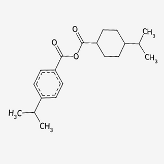 CC(C)c1ccc(C(=O)OC(=O)C2CCC(C(C)C)CC2)cc1